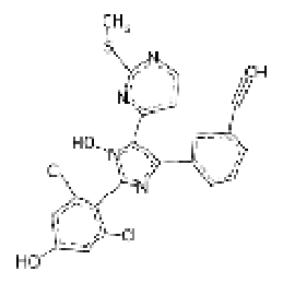 C#Cc1cccc(-c2nc(-c3c(Cl)cc(O)cc3Cl)n(O)c2-c2ccnc(SC)n2)c1